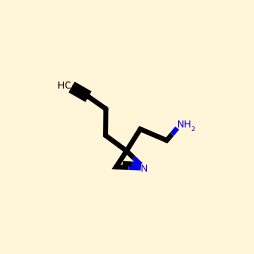 C#CCCC1(CCN)C=N1